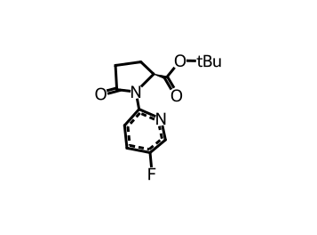 CC(C)(C)OC(=O)[C@@H]1CCC(=O)N1c1ccc(F)cn1